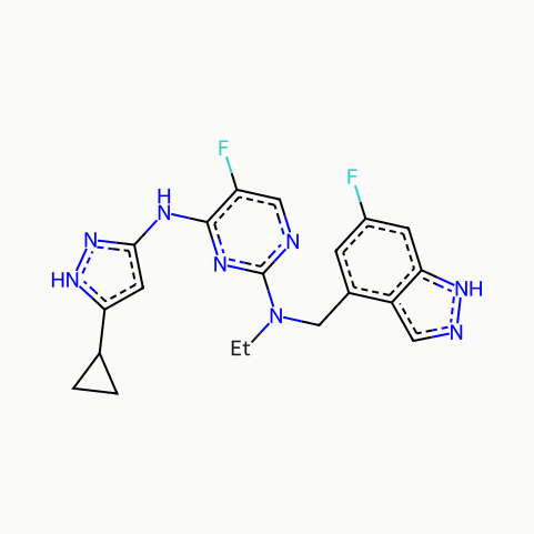 CCN(Cc1cc(F)cc2[nH]ncc12)c1ncc(F)c(Nc2cc(C3CC3)[nH]n2)n1